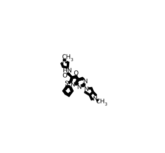 CN1CCC(NC(=O)c2c(=O)c3cnc(N4CC5CN(C)CC5C4)nc3n3c2sc2ccccc23)C1